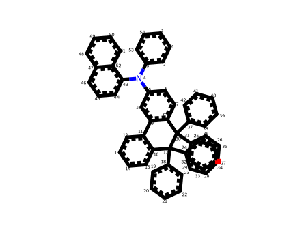 c1ccc(N(c2ccc3c(c2)-c2ccccc2C(c2ccccc2)(c2ccccc2)C3(c2ccccc2)c2ccccc2)c2cccc3ccccc23)cc1